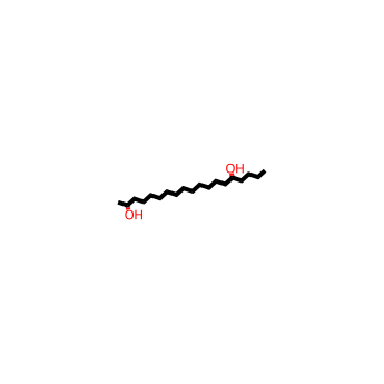 CCCCC(O)CCCCCCCCCCCCC(C)O